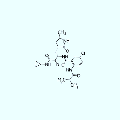 CC(C)C(=O)Nc1ccc(Cl)cc1C(=O)N[C@@H](C[C@@H]1C[C@@H](C)NC1=O)C(=O)C(=O)NC1CC1